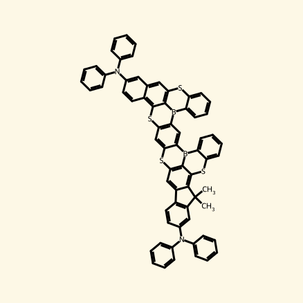 CC1(C)c2cc(N(c3ccccc3)c3ccccc3)ccc2-c2cc3c4c(c21)Sc1ccccc1B4c1cc2c(cc1S3)Sc1c3c(cc4cc(N(c5ccccc5)c5ccccc5)ccc14)Sc1ccccc1B23